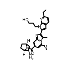 CCc1ccc2cc(-c3nc4cc(C(=O)N5[C@H]6CC[C@@H]5[C@H](N)C6)cc(OC)n4c3C)n(CCCO)c2n1